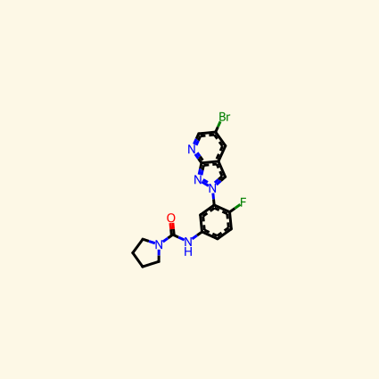 O=C(Nc1ccc(F)c(-n2cc3cc(Br)cnc3n2)c1)N1CCCC1